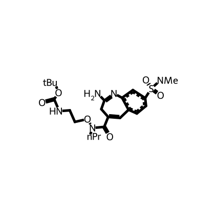 CCCN(OCCNC(=O)OC(C)(C)C)C(=O)C1=Cc2ccc(S(=O)(=O)NC)cc2N=C(N)C1